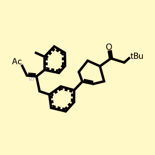 CC(=O)/C=C(/Cc1cccc(C2=CCC(C(=O)CC(C)(C)C)CC2)c1)c1ccccc1C